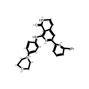 CC(C)c1cccc(-c2cc3cc[nH]c(=O)c3c(Nc3ccc(N4CCOCC4)cc3)n2)n1